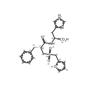 O=C(N[C@@H](Cc1c[nH]cn1)C(=O)O)[C@@H](Cc1ccccc1)CS(=O)(=O)Cc1ccco1